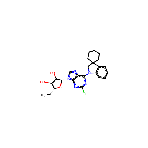 CC[C@H]1O[C@@H](n2cnc3c(N4CC5(CCCCC5)c5ccccc54)nc(Cl)nc32)C(O)C1O